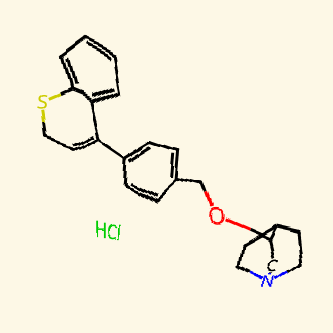 C1=C(c2ccc(COC3CN4CCC3CC4)cc2)c2ccccc2SC1.Cl